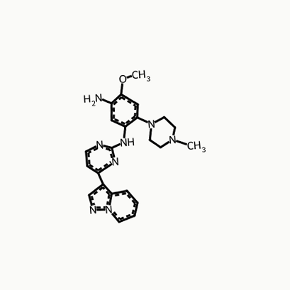 COc1cc(N2CCN(C)CC2)c(Nc2nccc(-c3cnn4ccccc34)n2)cc1N